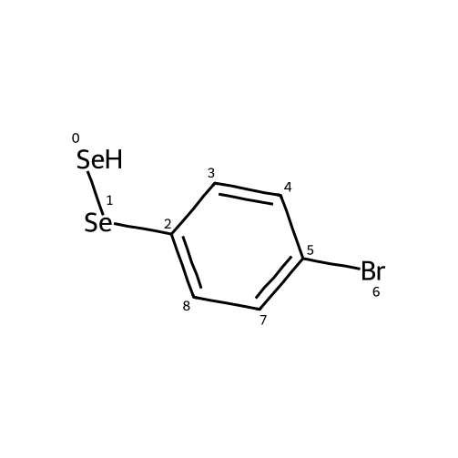 [SeH][Se]c1ccc(Br)cc1